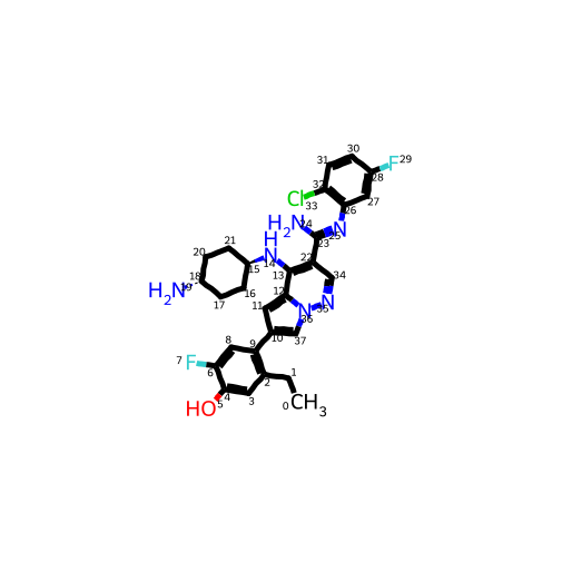 CCc1cc(O)c(F)cc1-c1cc2c(N[C@H]3CC[C@H](N)CC3)c(/C(N)=N/c3cc(F)ccc3Cl)cnn2c1